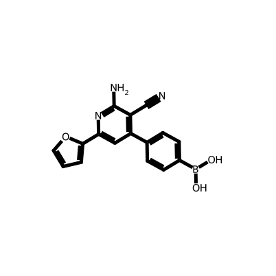 N#Cc1c(-c2ccc(B(O)O)cc2)cc(-c2ccco2)nc1N